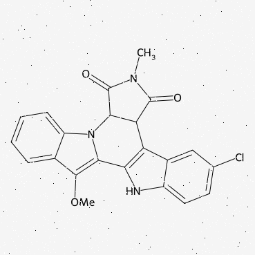 COc1c2n(c3ccccc13)C1C(=O)N(C)C(=O)C1c1c-2[nH]c2ccc(Cl)cc12